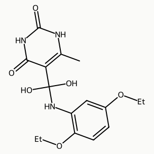 CCOc1ccc(OCC)c(NC(O)(O)c2c(C)[nH]c(=O)[nH]c2=O)c1